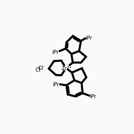 CC(C)C1=CC=C(C(C)C)C2C1CC[CH]2[Zr+2]1([CH]2CCC3C(C(C)C)=CC=C(C(C)C)C32)[CH2]CCC[CH2]1.[Cl-].[Cl-]